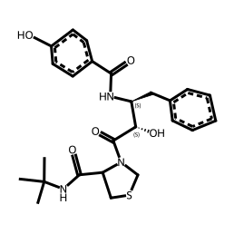 CC(C)(C)NC(=O)C1CSCN1C(=O)[C@@H](O)[C@H](Cc1ccccc1)NC(=O)c1ccc(O)cc1